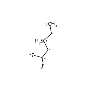 CC[SiH2]CC(F)F